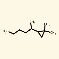 CCCCC(C)C1[CH]C1(C)C